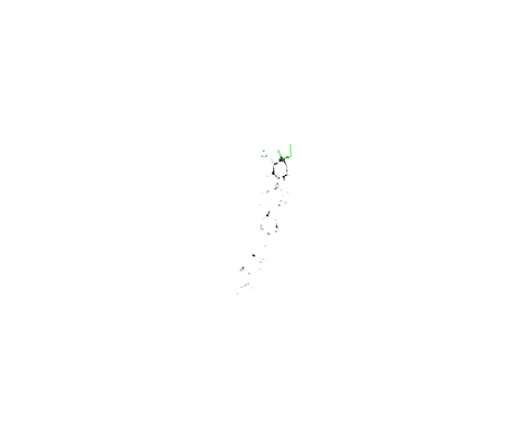 C/C=C/[C@H]1CC[C@H](CC[C@H]2CC[C@H]([C@H]3CC[C@H](c4ccc(Cl)c(F)c4)CC3)CC2)CC1